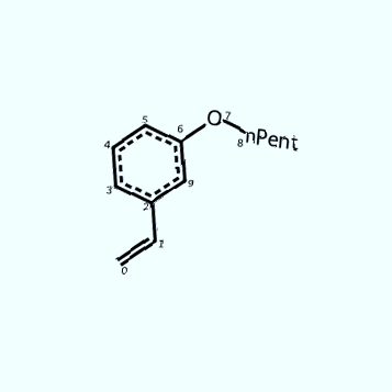 C=Cc1cccc(OCCCCC)c1